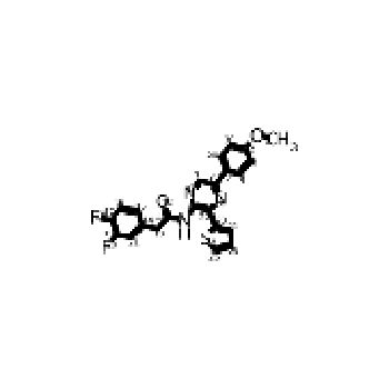 COc1ccc(-c2cnc(NC(=O)Cc3ccc(F)c(F)c3)c(-c3cccs3)n2)cc1